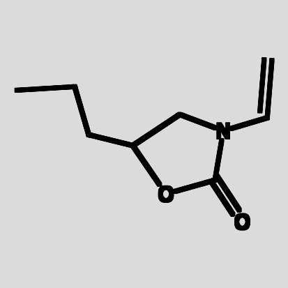 C=CN1CC(CCC)OC1=O